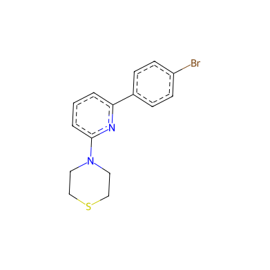 Brc1ccc(-c2cccc(N3CCSCC3)n2)cc1